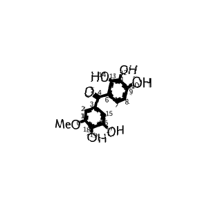 COc1cc(C(=O)c2ccc(O)c(O)c2O)cc(O)c1O